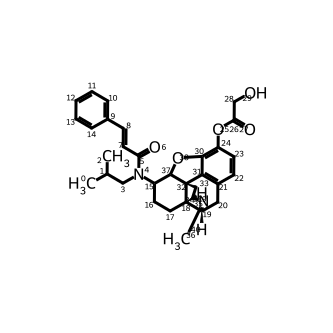 CC(C)CN(C(=O)/C=C/c1ccccc1)C1CC[C@H]2[C@H]3Cc4ccc(OC(=O)CO)c5c4[C@@]2(CCN3C)C1O5